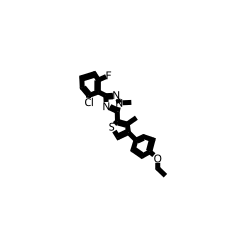 CCOc1ccc(-c2csc(-c3nc(-c4c(F)cccc4Cl)nn3C)c2C)cc1